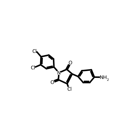 Nc1ccc(C2=C(Cl)C(=O)N(c3ccc(Cl)c(Cl)c3)C2=O)cc1